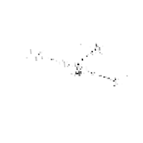 CC(=O)N[C@@H]1[C@@H](O)[C@@H](O)[C@@H](CO)C[C@H]1OCCOCCOCCOCC(=O)NCCCC[C@H](NC(=O)COCCOCCOCCO[C@@H]1O[C@H](CO)[C@H](O)[C@H](O)[C@H]1NC(C)=O)C(=O)N[C@@H](CCCCNC(=O)COCCOCCOCCO[C@@H]1O[C@H](CO)[C@H](O)[C@H](O)[C@H]1NC(C)=O)C(=O)ON1C(=O)CCC1=O